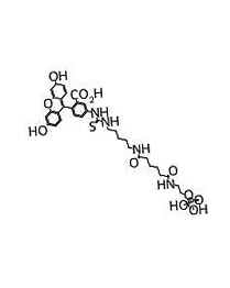 O=C(CCCCC(=O)NCCOP(=O)(O)O)NCCCCCNC(=S)Nc1ccc(C2=C3C=CC(O)C=C3Oc3cc(O)ccc32)c(C(=O)O)c1